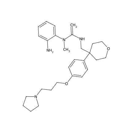 C=C(NCC1(c2ccc(OCCCN3CCCC3)cc2)CCOCC1)N(C)c1ccccc1N